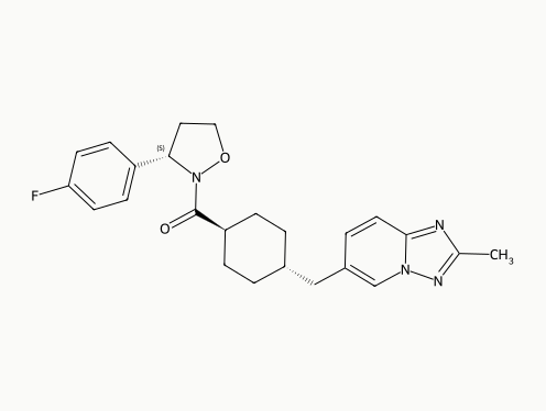 Cc1nc2ccc(C[C@H]3CC[C@H](C(=O)N4OCC[C@H]4c4ccc(F)cc4)CC3)cn2n1